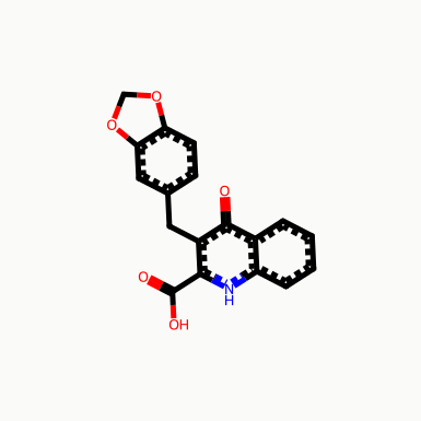 O=C(O)c1[nH]c2ccccc2c(=O)c1Cc1ccc2c(c1)OCO2